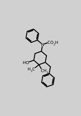 CC1(C)C(O)CC(N(C(=O)O)c2ccccc2)CC1Cc1ccccc1